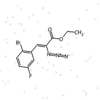 CCOC(=O)C(=Cc1cc(F)ccc1Br)N=[N+]=[N-]